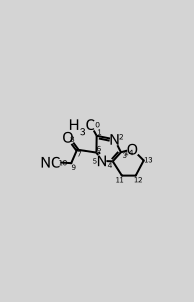 Cc1nc2c(nc1C(=O)CC#N)CCCO2